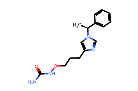 C[C@@H](c1ccccc1)n1cnc(CCCONC(N)=O)c1